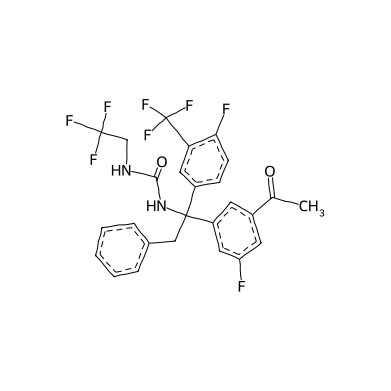 CC(=O)c1cc(F)cc(C(Cc2ccccc2)(NC(=O)NCC(F)(F)F)c2ccc(F)c(C(F)(F)F)c2)c1